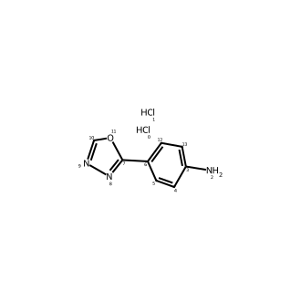 Cl.Cl.Nc1ccc(-c2nnco2)cc1